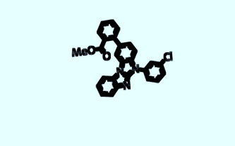 COC(=O)c1ccccc1-c1ccc2c(c1)n1c3ccccc3nc1n2-c1cccc(Cl)c1